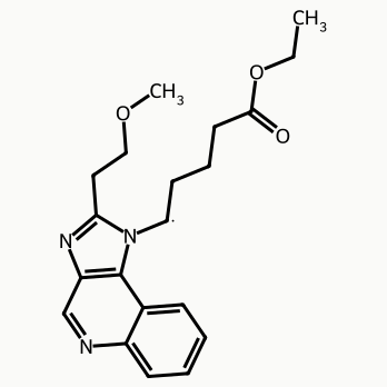 CCOC(=O)CCC[CH]n1c(CCOC)nc2cnc3ccccc3c21